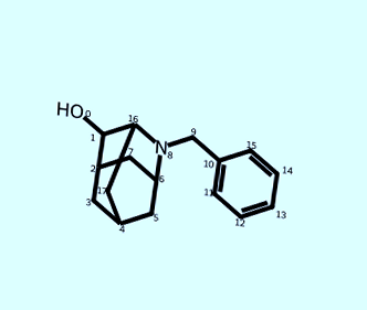 OC1C2CC3CC(C2)N(Cc2ccccc2)C1C3